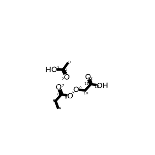 CC(=O)O.CCC(=O)OOCC(=O)O